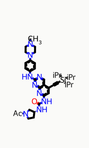 CC(=O)N1CC[C@@H](NC(=O)Nc2cc(C#C[Si](C(C)C)(C(C)C)C(C)C)c3cnc(Nc4ccc(N5CCN(C)CC5)cc4)nc3n2)C1